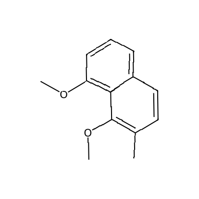 COc1cccc2ccc(C)c(OC)c12